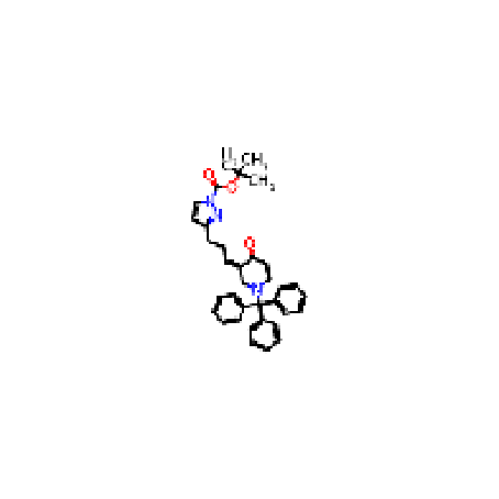 CC(C)(C)OC(=O)n1ccc(CCC=C2CN(C(c3ccccc3)(c3ccccc3)c3ccccc3)CCC2=O)n1